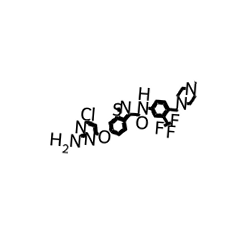 CN1CCN(Cc2ccc(NC(=O)c3nsc4cc(Oc5cc(Cl)nc(N)n5)ccc34)cc2C(F)(F)F)CC1